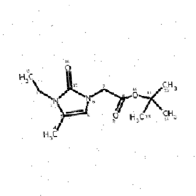 CCn1c(C)cn(CC(=O)OC(C)(C)C)c1=O